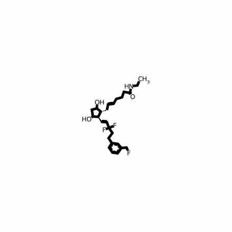 CCNC(=O)CCC/C=C/C[C@H]1C(O)CC(O)[C@@H]1/C=C/C(F)(F)CCc1cccc(CF)c1